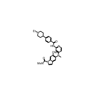 CCN1CCC(c2ccc(C(=O)Nc3cc(N(C)c4cc5ccn(C(=O)NC)c5cc4OC)ccn3)cc2)CC1